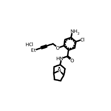 CCC#CCOc1cc(N)c(Cl)cc1C(=O)NC1CC2CCC(C1)N2C.Cl